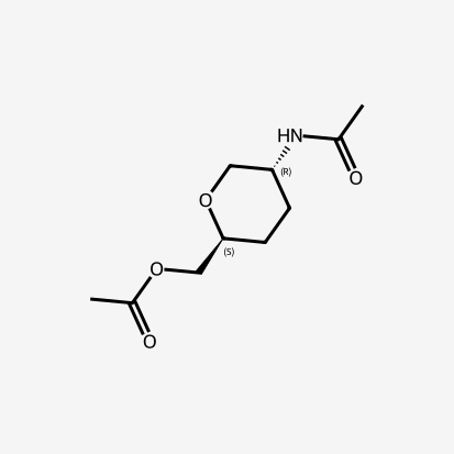 CC(=O)N[C@@H]1CC[C@@H](COC(C)=O)OC1